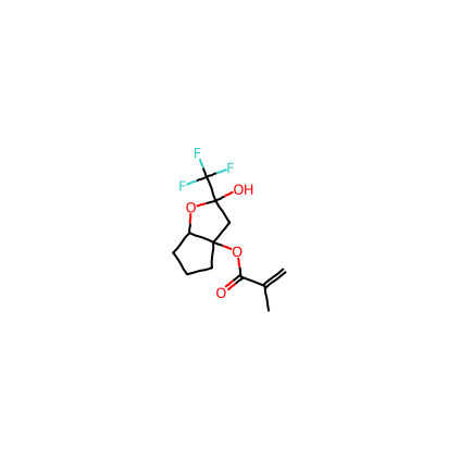 C=C(C)C(=O)OC12CCCC1OC(O)(C(F)(F)F)C2